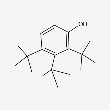 CC(C)(C)c1ccc(O)c(C(C)(C)C)c1C(C)(C)C